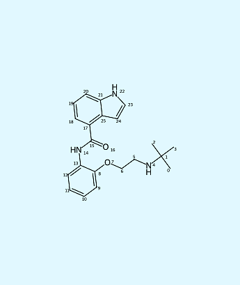 CC(C)(C)NCCOc1ccccc1NC(=O)c1cccc2[nH]ccc12